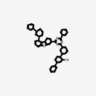 N#Cc1cc(-c2ccccc2)ccc1-c1cccc(-c2nc(-c3ccccc3)nc(-c3ccc4c(c3)oc3cccc(-c5cccc(-c6ccccc6)c5)c34)n2)c1